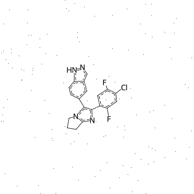 Fc1cc(-c2nc3n(c2-c2ccc4[nH]ncc4c2)CCC3)c(F)cc1Cl